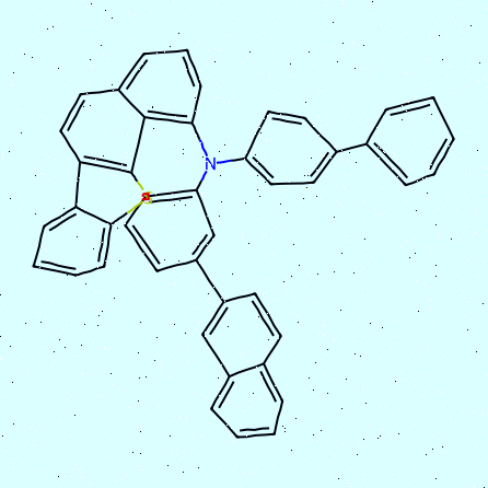 c1ccc(-c2ccc(N(c3cccc(-c4ccc5ccccc5c4)c3)c3cccc4ccc5c6ccccc6sc5c34)cc2)cc1